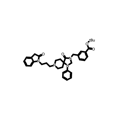 CC(C)(C)OC(=O)c1cccc(CN2CN(c3ccccc3)C3(CCN(CCCN4C(=O)Cc5ccccc54)CC3)C2=O)c1